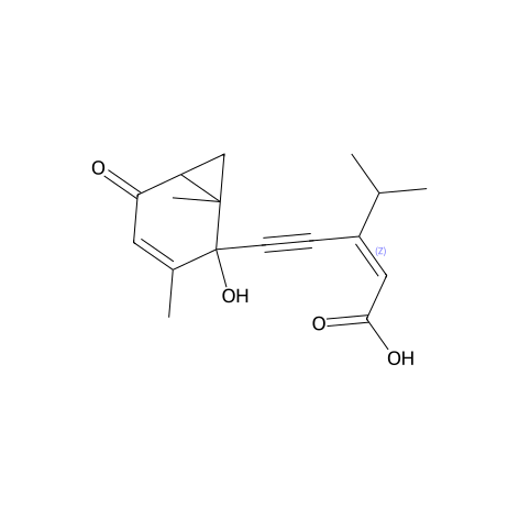 CC1=CC(=O)C2CC2(C)C1(O)C#C/C(=C\C(=O)O)C(C)C